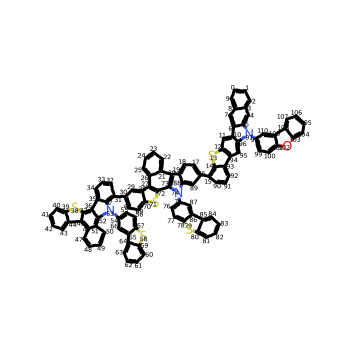 c1ccc2cc3c(cc2c1)c1cc2sc4c(-c5ccc6c7c8ccccc8c8c9cc(-c%10cccc%11c%12c%13sc%14ccccc%14c%13c%13ccccc%13c%12n(-c%12ccc%13sc%14ccccc%14c%13c%12)c%10%11)ccc9sc8c7n(-c7ccc8sc9ccccc9c8c7)c6c5)cccc4c2cc1n3-c1ccc2oc3ccccc3c2c1